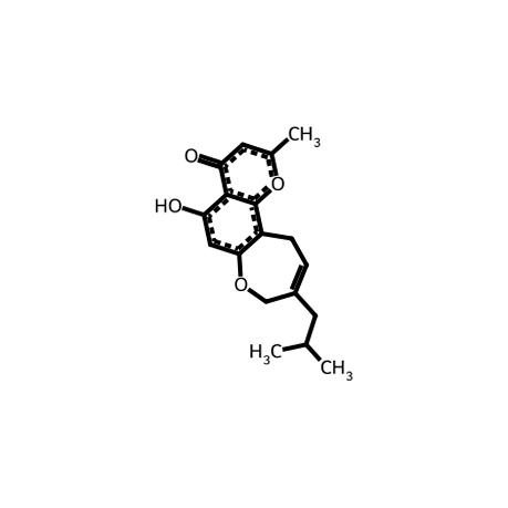 Cc1cc(=O)c2c(O)cc3c(c2o1)CC=C(CC(C)C)CO3